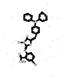 CCN1C(=O)/C(=C\c2ccc(N(c3ccccc3)c3ccccc3)cc2)OC1=Nc1ccc(Br)cc1C(=O)OC